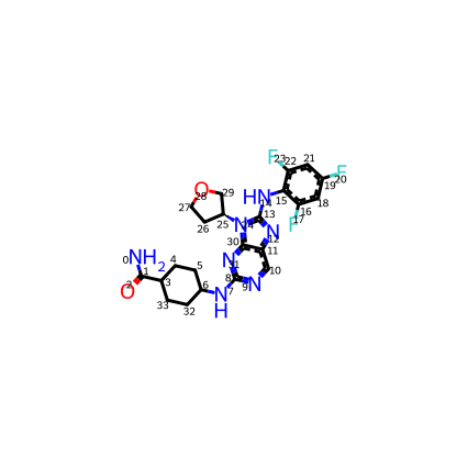 NC(=O)C1CCC(Nc2ncc3nc(Nc4c(F)cc(F)cc4F)n([C@H]4CCOC4)c3n2)CC1